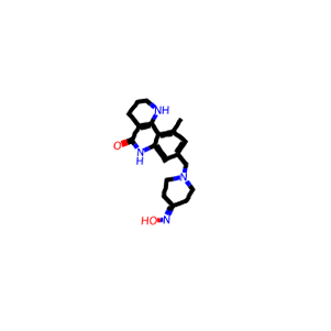 Cc1cc(CN2CCC(=NO)CC2)cc2[nH]c(=O)c3c(c12)NCCC3